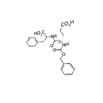 O=C(O)CC[C@H](NC(=O)OCc1ccccc1)C(=O)NC(Cc1ccccc1)C(=O)O